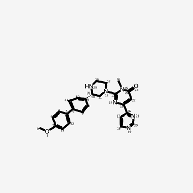 COc1ccc(-c2ccc([C@H]3CN(c4nc(-c5ccncn5)cc(=O)n4C)CCN3)cc2)cc1